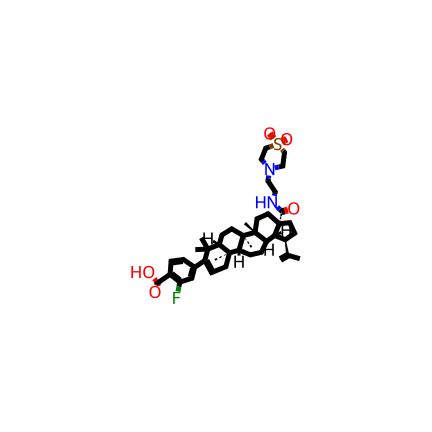 C=C(C)[C@@H]1CC[C@]2(C(=O)NCCN3CCS(=O)(=O)CC3)CC[C@]3(C)[C@H](CC[C@@H]4[C@@]5(C)CC=C(c6ccc(C(=O)O)c(F)c6)C(C)(C)[C@@H]5CC[C@]43C)[C@@H]12